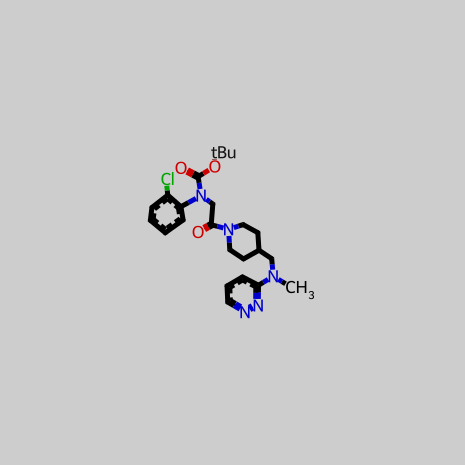 CN(CC1CCN(C(=O)CN(C(=O)OC(C)(C)C)c2ccccc2Cl)CC1)c1cccnn1